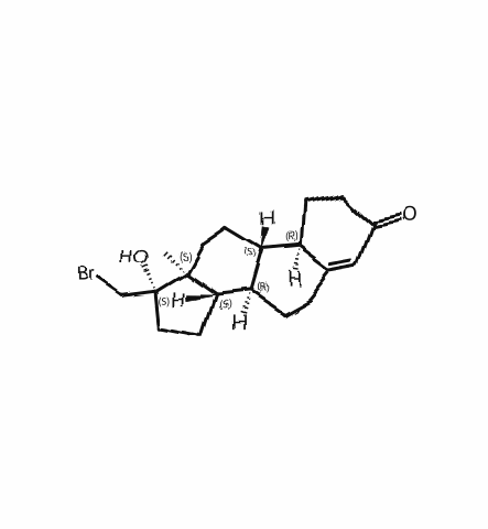 C[C@]12CC[C@H]3[C@@H](CCC4=CC(=O)CC[C@@H]43)[C@@H]1CC[C@@]2(O)CBr